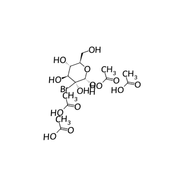 CC(=O)O.CC(=O)O.CC(=O)O.CC(=O)O.OC[C@H]1O[C@H](O)[C@@](O)(Br)[C@@H](O)[C@@H]1O